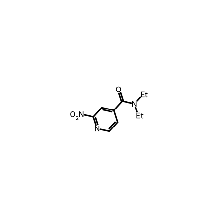 CCN(CC)C(=O)c1ccnc([N+](=O)[O-])c1